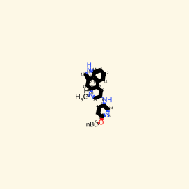 CCCCOc1ccc(N[C@H]2CC3c4cccc5[nH]cc(c45)C[C@H]3N(C)C2)cn1